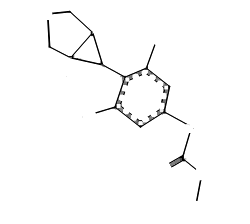 CC(C)OC(=O)Nc1cc(F)c(C2[C@H]3CSC[C@@H]23)c(F)c1